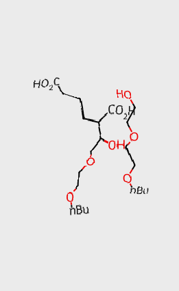 CCCCOCCOCC(O)C(CCCC(=O)O)C(=O)O.CCCCOCCOCCO